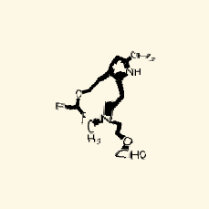 Cc1cc(=C/COC(F)F)/c(=C\CN(C)CCOC=O)[nH]1